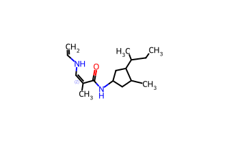 C=CN/C=C(/C)C(=O)NC1CC(C)C(C(C)CC)C1